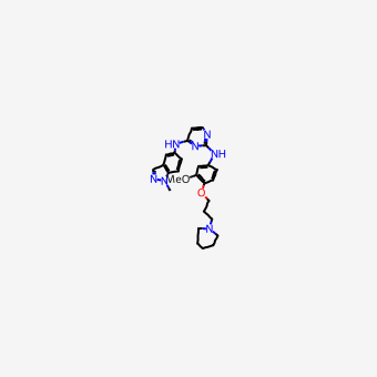 COc1cc(Nc2nccc(Nc3ccc4c(cnn4C)c3)n2)ccc1OCCCN1CCCCC1